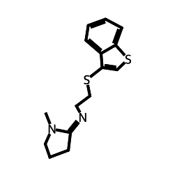 CN1CCCC1=NCCSc1csc2ccccc12